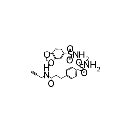 C#CCNC(=O)CCc1ccc(S(N)(=O)=O)cc1.NS(=O)(=O)c1ccc2c(c1)OCO2